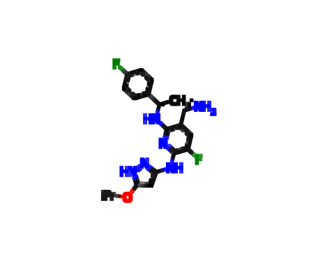 [CH2][C](Nc1nc(Nc2cc(OC(C)C)[nH]n2)c(F)cc1CN)c1ccc(F)cc1